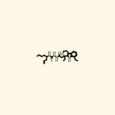 C=CCC(CCCC)NC(=S)NNC(=O)CC1(CC)OCCc2c1[nH]c1c(CC)cccc21